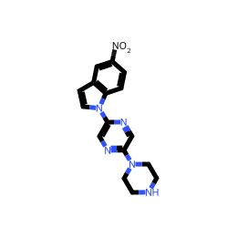 O=[N+]([O-])c1ccc2c(ccn2-c2cnc(N3CCNCC3)cn2)c1